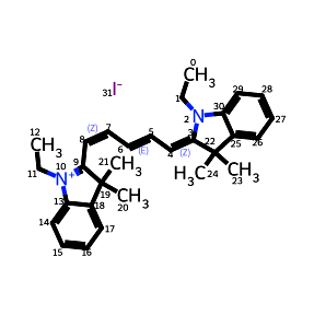 CCN1\C(=C/C=C/C=C\C2=[N+](CC)c3ccccc3C2(C)C)C(C)(C)c2ccccc21.[I-]